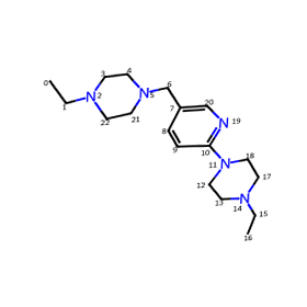 CCN1CCN(Cc2ccc(N3CCN(CC)CC3)nc2)CC1